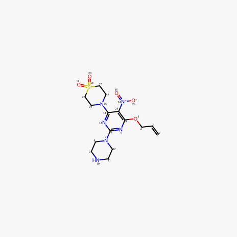 C=CCOc1nc(N2CCNCC2)nc(N2CCS(=O)(=O)CC2)c1[N+](=O)[O-]